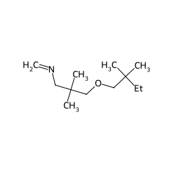 C=NCC(C)(C)COCC(C)(C)CC